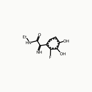 CCNC(=O)C(=N)c1ccc(O)c(O)c1F